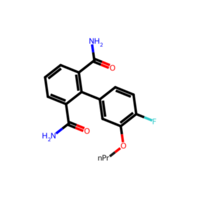 CCCOc1cc(-c2c(C(N)=O)cccc2C(N)=O)ccc1F